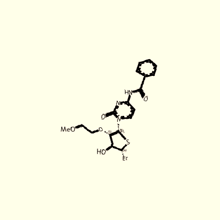 CC[C@H]1S[C@@H](n2ccc(NC(=O)c3ccccc3)nc2=O)[C@@H](OCCOC)C1O